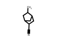 C[C]1CC2CC1CC2C#N